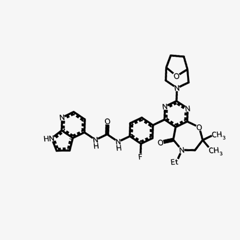 CCN1CC(C)(C)Oc2nc(N3CC4CCC(C3)O4)nc(-c3ccc(NC(=O)Nc4ccnc5[nH]ccc45)c(F)c3)c2C1=O